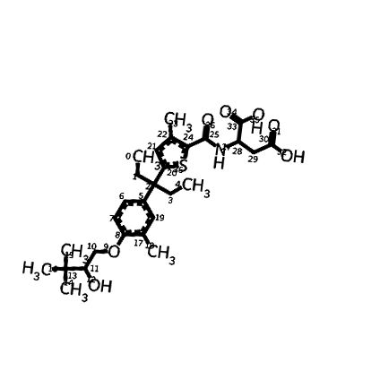 CCC(CC)(c1ccc(OCC(O)C(C)(C)C)c(C)c1)c1cc(C)c(C(=O)NC(CC(=O)O)C(=O)O)s1